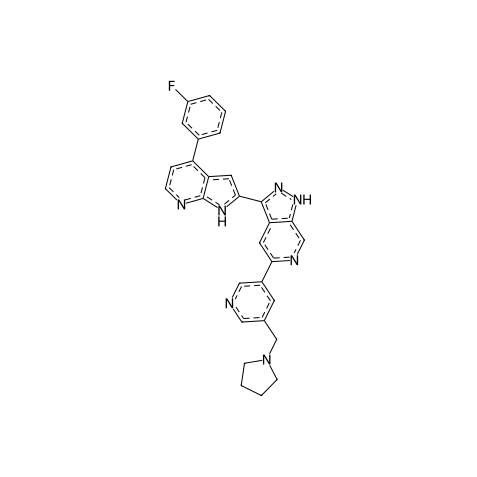 Fc1cccc(-c2ccnc3[nH]c(-c4n[nH]c5cnc(-c6cncc(CN7CCCC7)c6)cc45)cc23)c1